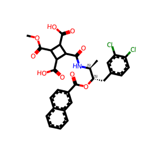 COC(=O)C1C(C(=O)O)C(C(=O)N[C@@H](C)[C@H](Cc2ccc(Cl)c(Cl)c2)OC(=O)c2ccc3ccccc3c2)C1C(=O)O